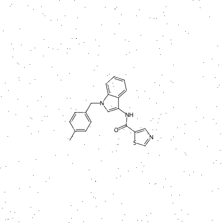 Cc1ccc(Cn2cc(NC(=O)c3cncs3)c3ccccc32)cc1